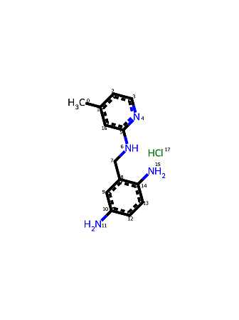 Cc1ccnc(NCc2cc(N)ccc2N)c1.Cl